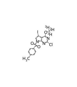 [2H]C([2H])([2H])Oc1nc(Cl)nc2c1c(I)cn2S(=O)(=O)c1ccc(C)cc1